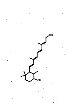 CC(/C=C/C1C(C)C(O)CCC1(C)C)=C\C=C\C(C)=C\CO